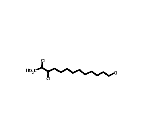 O=C(O)C(Cl)C(Cl)CCCCCCCCCCCl